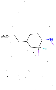 COCCC1CCC(NI)C(F)(I)C1